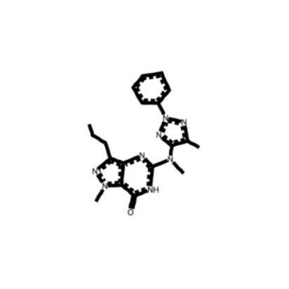 CCCc1nn(C)c2c(=O)[nH]c(N(C)c3nn(-c4ccccc4)nc3C)nc12